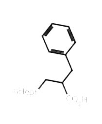 CCCCCCCCC(Cc1ccccc1)C(=O)O